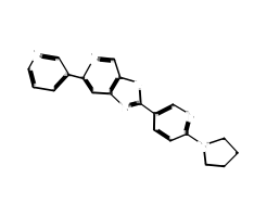 c1cncc(-c2cc3nc(-c4ccc(N5CCCC5)nc4)sc3cn2)c1